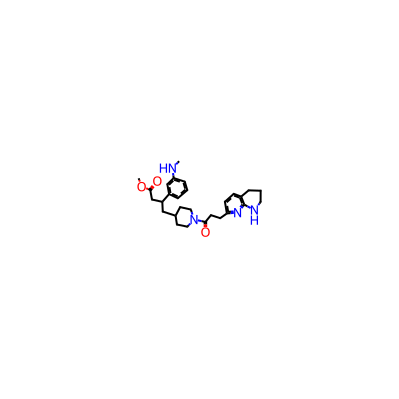 CNc1cccc(C(CC(=O)OC)CC2CCN(C(=O)CCc3ccc4c(n3)NCCC4)CC2)c1